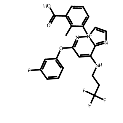 Cc1c(C(=O)O)cccc1[N+]12C=CN=C1C(NCCC(F)(F)F)=CC(Oc1cccc(F)c1)=N2